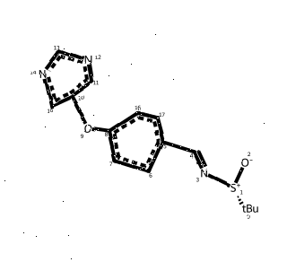 CC(C)(C)[S@@+]([O-])/N=C/c1ccc(Oc2cncnc2)cc1